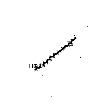 [CH2]C(O)COCCCCCCCCCCCCCCCCCCCC